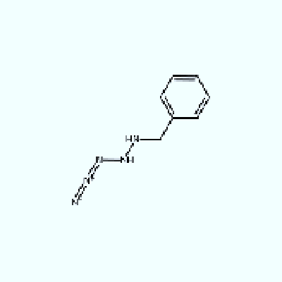 [N-]=[N+]=NNNCc1ccccc1